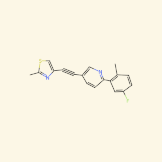 Cc1nc(C#Cc2ccc(-c3cc(F)ccc3C)nc2)cs1